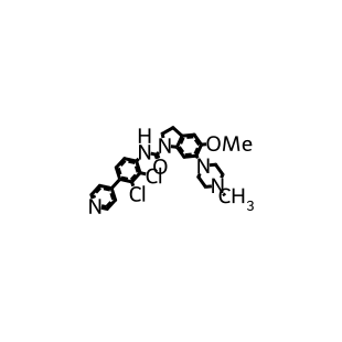 COc1cc2c(cc1N1CCN(C)CC1)N(C(=O)Nc1ccc(-c3ccncc3)c(Cl)c1Cl)CC2